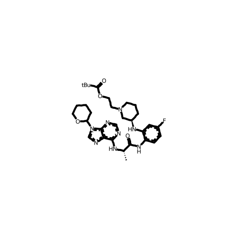 C[C@H](Nc1ncnc2c1ncn2C1CCCCO1)C(=O)Nc1ccc(F)cc1N[C@@H]1CCCN(CCOC(=O)C(C)(C)C)C1